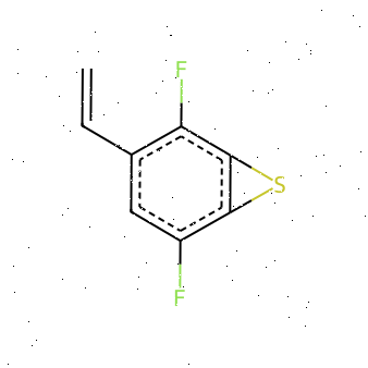 C=Cc1cc(F)c2c(c1F)S2